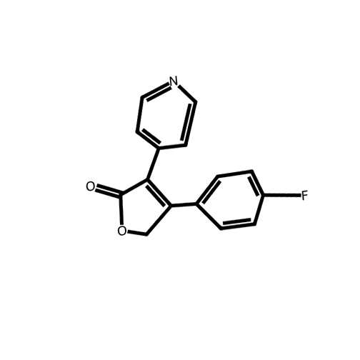 O=C1OCC(c2ccc(F)cc2)=C1c1ccncc1